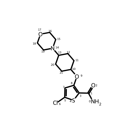 NC(=O)c1sc(Cl)cc1OC1CCC(N2CCOCC2)CC1